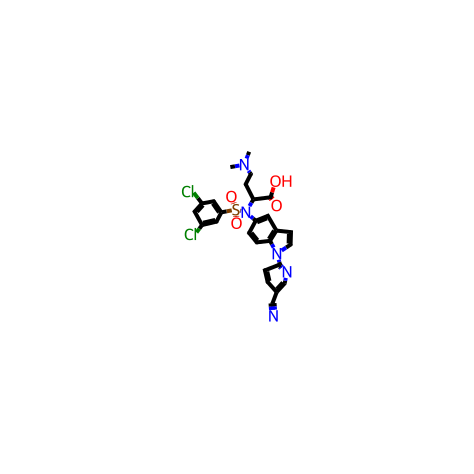 CN(C)CCC(C(=O)O)N(c1ccc2c(ccn2-c2ccc(C#N)cn2)c1)S(=O)(=O)c1cc(Cl)cc(Cl)c1